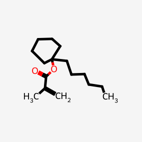 C=C(C)C(=O)OC1(CCCCCC)CCCCC1